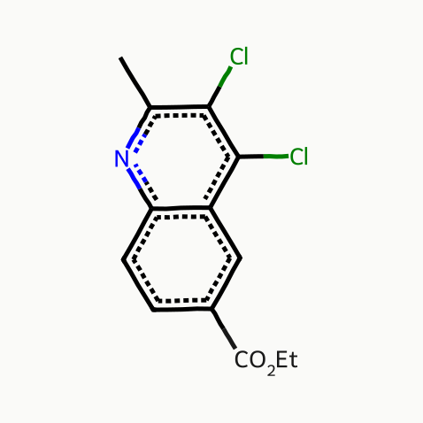 CCOC(=O)c1ccc2nc(C)c(Cl)c(Cl)c2c1